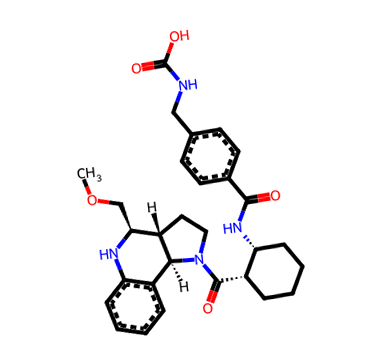 COC[C@@H]1Nc2ccccc2[C@H]2[C@H]1CCN2C(=O)[C@H]1CCCC[C@H]1NC(=O)c1ccc(CNC(=O)O)cc1